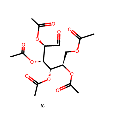 CC(=O)OC[C@@H](OC(C)=O)[C@H](OC(C)=O)[C@H](OC(C)=O)[C@H](C=O)OC(C)=O.[K]